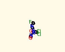 O=c1n(CCN2CCOCC2)c2cc(Cl)c(Cl)cc2n1C1CCN(Cc2ccccc2F)CC1